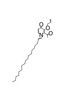 C=CCOc1c(C(C)=O)n(C=CCCCCCCCCCCCCCCCC)ccc1=O